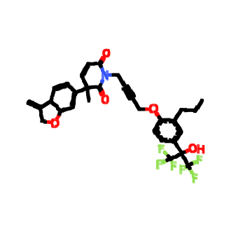 C=C1COC2C=C(C3(C)C=CC(=O)N(CC#CCOc4ccc(C(O)(C(F)(F)F)C(F)(F)F)cc4CCC)C3=O)C=CC12